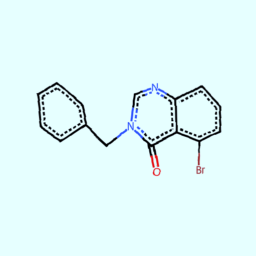 O=c1c2c(Br)cccc2ncn1Cc1ccccc1